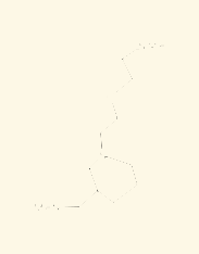 CNCCOCCN1CCCC(CNC)C1